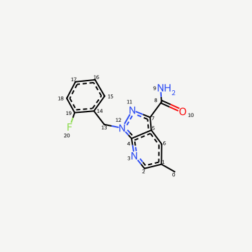 Cc1cnc2c(c1)c(C(N)=O)nn2Cc1ccccc1F